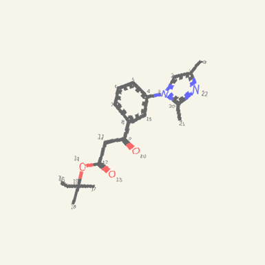 Cc1cn(-c2cccc(C(=O)CC(=O)OC(C)(C)C)c2)c(C)n1